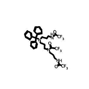 O=C(NCCCN(CCCN(CCCNC(=O)C(F)(F)F)C(c1ccccc1)(c1ccccc1)c1ccccc1)C(=O)C(F)(F)F)C(F)(F)F